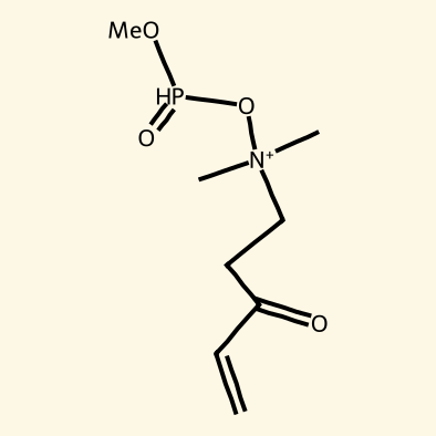 C=CC(=O)CC[N+](C)(C)O[PH](=O)OC